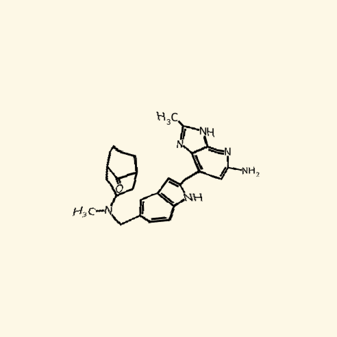 Cc1nc2c(-c3cc4cc(CN(C)C5CC6CCC(C5)C6=O)ccc4[nH]3)cc(N)nc2[nH]1